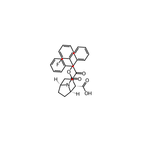 O=C(O)[C@@H]1[C@H]2CC[C@@H](CN1C(=O)C(c1ccccc1)c1ccccc1)N2C(=O)OCc1ccccc1F